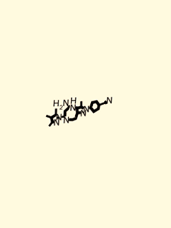 Cc1nn(-c2cc(N)[nH]c3c(C)n(-c4ccc(C#N)cc4)nc3ccn2)c(C)c1C